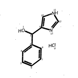 Cl.OC(c1ccccc1)c1c[nH]cn1